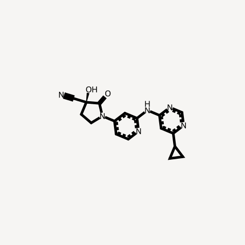 N#C[C@@]1(O)CCN(c2ccnc(Nc3cc(C4CC4)ncn3)c2)C1=O